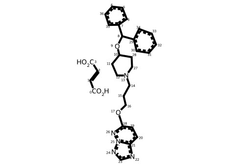 O=C(O)/C=C/C(=O)O.c1ccc(C(OC2CCN(CCCOc3ccc4ncnn4n3)CC2)c2ccccc2)cc1